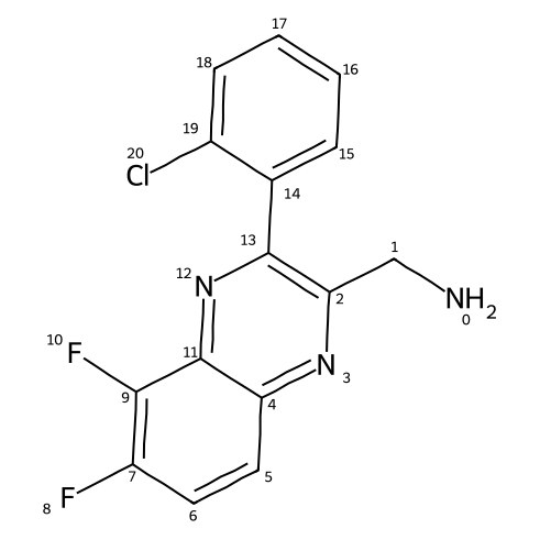 NCc1nc2ccc(F)c(F)c2nc1-c1ccccc1Cl